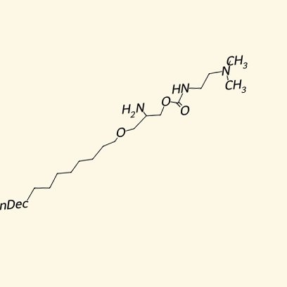 CCCCCCCCCCCCCCCCCCOCC(N)COC(=O)NCCN(C)C